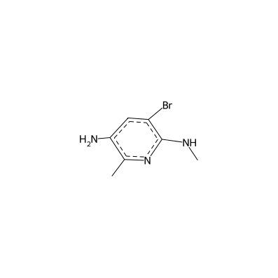 CNc1nc(C)c(N)cc1Br